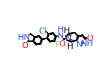 O=C1NCc2cc(-c3cc(F)c(NC(=O)N4[C@H]5CC[C@@H]4c4n[nH]c(=O)cc4C5)cc3Cl)ccc21